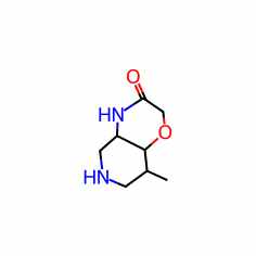 CC1CNCC2NC(=O)COC12